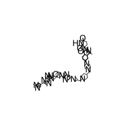 Cc1nn(C2CCC(=O)NC2=O)c(=O)c2ccc(N3CCN(CC4CCN(CC5CN(c6cnc(N7CCO[C@H](Cn8nnc9nc(-c%10cnn(C)c%10)cnc98)C7)nc6)C5)CC4)CC3)cc12